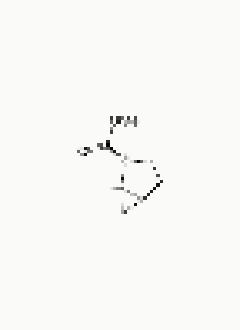 COC(=O)[C@H]1CCC2CC21C